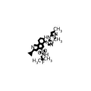 Cc1cc(Nc2nncn2C2CCCc3c2cc(S(=O)(=O)NCC(C)(C)F)c2cc(C4CC4)ncc32)n(C)n1